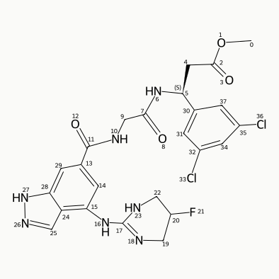 COC(=O)C[C@H](NC(=O)CNC(=O)c1cc(NC2=NCC(F)CN2)c2cn[nH]c2c1)c1cc(Cl)cc(Cl)c1